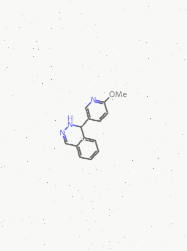 COc1ccc(C2NN=Cc3ccccc32)cn1